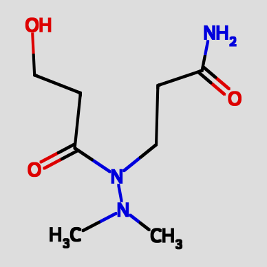 CN(C)N(CCC(N)=O)C(=O)CCO